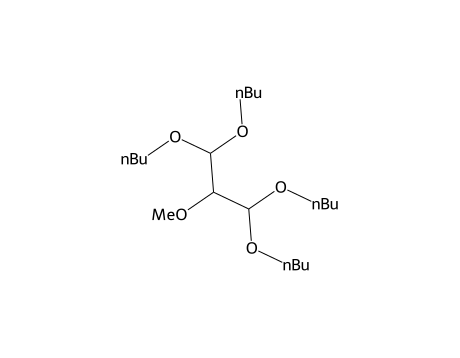 CCCCOC(OCCCC)C(OC)C(OCCCC)OCCCC